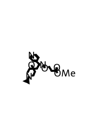 COC(=O)CCO/N=C1\CC2(CCN(C3CC3)CC2)Oc2cnccc21